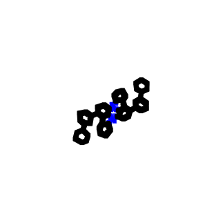 c1cc(-c2ccc3c4c2c2ccccc2n4c2ccc(-c4cccc(C5CCCCC5)c4)c4c5ccccc5n3c42)cc(C2CCCCC2)c1